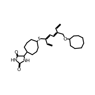 C=C/C(=C\C=C(/C=C)SC1CCCC(C2NC(=O)NC2=O)CCC1)COC1CCCCCCC1